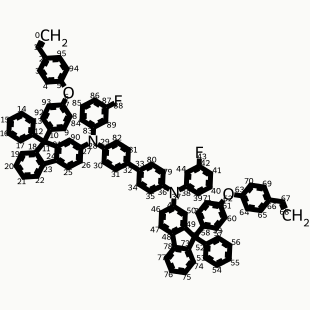 C=Cc1ccc(Oc2ccc(C3(c4ccccc4)c4ccccc4-c4ccc(N(c5ccc(-c6ccc(N(c7cccc(F)c7)c7ccc8c(c7)C(c7ccccc7)(c7ccc(Oc9ccc(C=C)cc9)cc7)c7ccccc7-8)cc6)cc5)c5cccc(F)c5)cc43)cc2)cc1